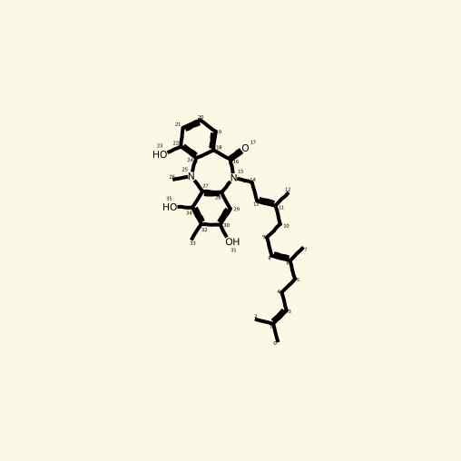 CC(C)=CCC/C(C)=C/CC/C(C)=C/CN1C(=O)c2cccc(O)c2N(C)c2c1cc(O)c(C)c2O